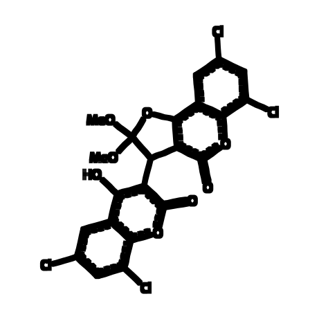 COC1(OC)Oc2c(c(=O)oc3c(Cl)cc(Cl)cc23)C1c1c(O)c2cc(Cl)cc(Cl)c2oc1=O